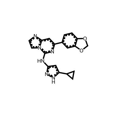 c1cn2c(Nc3cc(C4CC4)[nH]n3)nc(-c3ccc4c(c3)OCO4)cc2n1